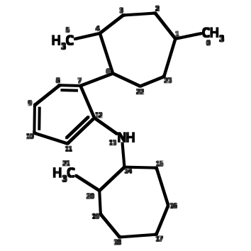 CC1CCC(C)C(c2ccccc2NC2CCCCCC2C)CC1